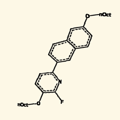 CCCCCCCCOc1ccc2cc(-c3ccc(OCCCCCCCC)c(F)n3)ccc2c1